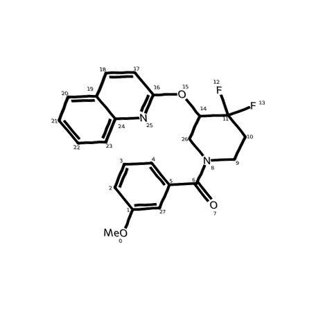 COc1cccc(C(=O)N2CCC(F)(F)C(Oc3ccc4ccccc4n3)C2)c1